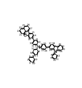 c1ccc(-c2ccc(N(c3ccc(-c4ccc5c(c4)Oc4cccc6cccc-5c46)cc3)c3ccc(-c4ccc5c6ccccc6n(-c6ccccc6)c5c4)cc3)cc2)cc1